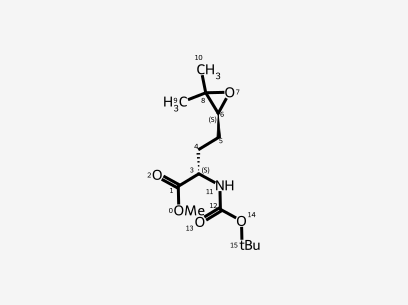 COC(=O)[C@H](CC[C@@H]1OC1(C)C)NC(=O)OC(C)(C)C